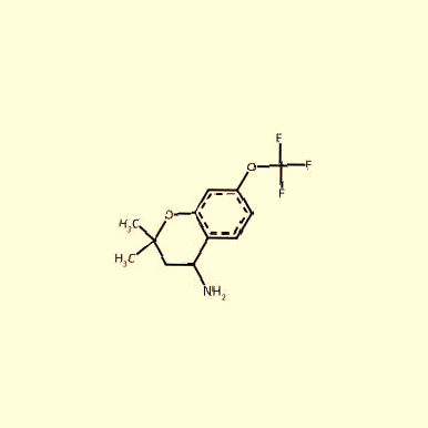 CC1(C)CC(N)c2ccc(OC(F)(F)F)cc2O1